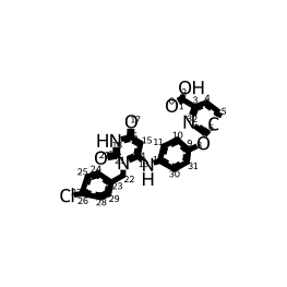 O=C(O)c1cccc(Oc2ccc(Nc3cc(=O)[nH]c(=O)n3Cc3ccc(Cl)cc3)cc2)n1